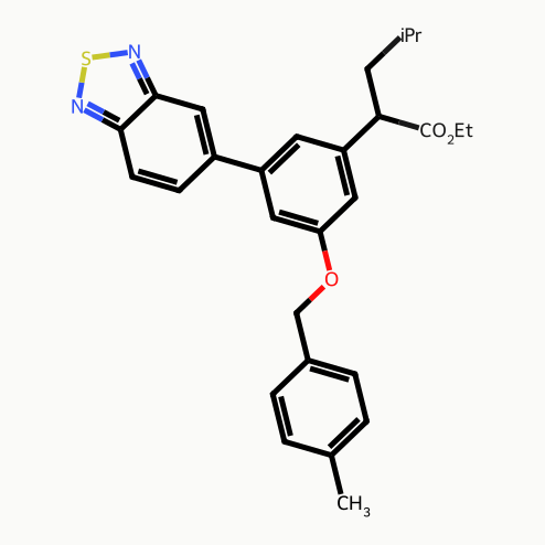 CCOC(=O)C(CC(C)C)c1cc(OCc2ccc(C)cc2)cc(-c2ccc3nsnc3c2)c1